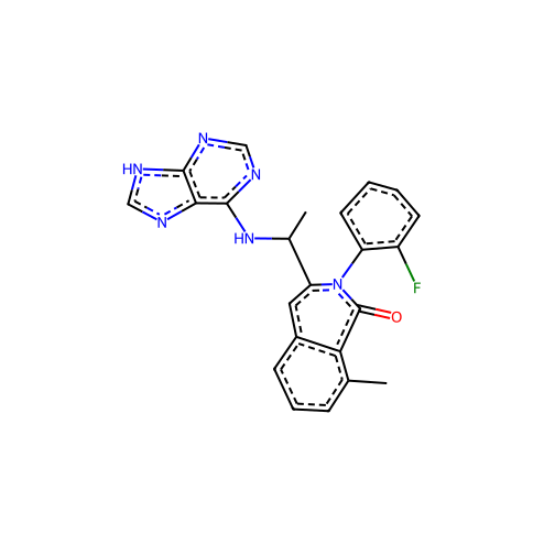 Cc1cccc2cc(C(C)Nc3ncnc4[nH]cnc34)n(-c3ccccc3F)c(=O)c12